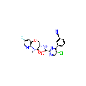 CN1C(=O)[C@@H](NC(=O)c2ncc(Cl)c(-c3cccc(C#N)c3)n2)COc2cc(F)cnc21